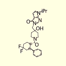 CC(C)n1ccc2c(=O)n(CC3(O)CCN(C(=O)[C@H]4CCC(F)(F)C[C@@H]4c4ccccc4)CC3)cnc21